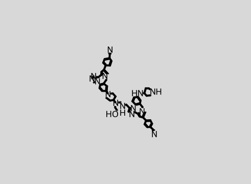 N#Cc1ccc(-c2cc3n(c2)Cc2cc(N4CCC(N(CCO)CNCc5cnc6n5-c5ccc(NC7CCNCC7)cc5Cn5cc(-c7ccc(C#N)cc7)cc5-6)CC4)ccc2-n2cnnc2-3)cc1